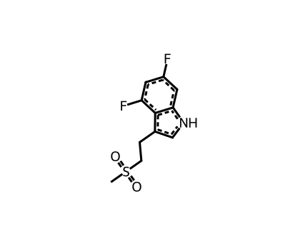 CS(=O)(=O)CCc1c[nH]c2cc(F)cc(F)c12